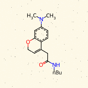 CCCCNC(=O)CC1=CCOc2cc(N(C)C)ccc21